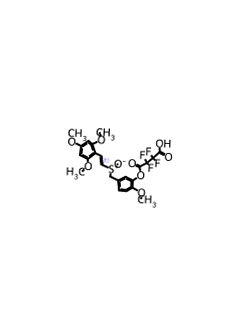 COc1cc(OC)c(/C=C/[S+]([O-])Cc2ccc(OC)c(OC(=O)C(F)(F)C(F)(F)C(=O)O)c2)c(OC)c1